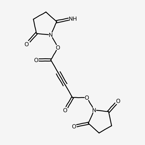 N=C1CCC(=O)N1OC(=O)C#CC(=O)ON1C(=O)CCC1=O